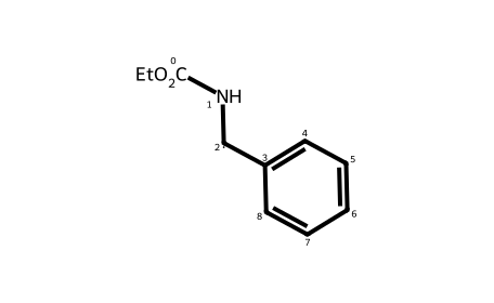 CCOC(=O)N[CH]c1ccccc1